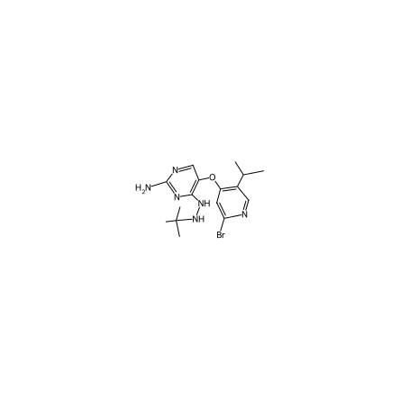 CC(C)c1cnc(Br)cc1Oc1cnc(N)nc1NNC(C)(C)C